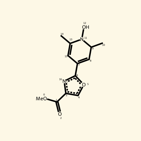 COC(=O)c1coc(C2=CC(C)N(O)C(C)=C2)n1